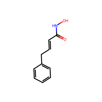 O=C(C=CCc1ccccc1)NO